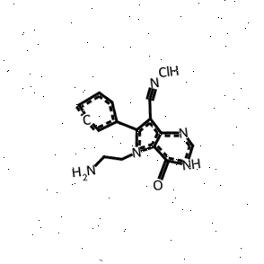 Cl.N#Cc1c(-c2ccccc2)n(CCN)c2c(=O)[nH]cnc12